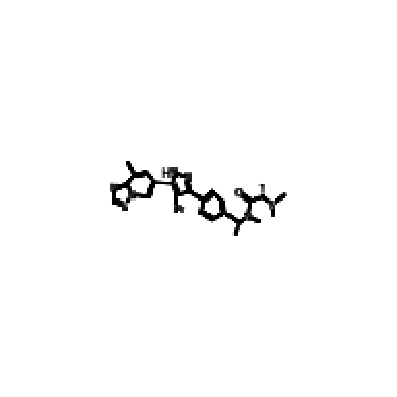 Cc1cc(-c2[nH]nc(-c3ccc([C@H](C)N(C)C(=O)[C@H](C)N(C)C)cc3)c2C(C)C)cn2ncnc12